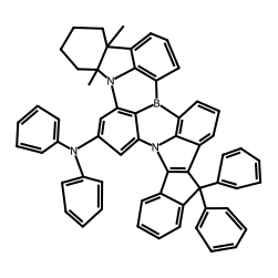 CC12CCCCC1(C)N1c3cc(N(c4ccccc4)c4ccccc4)cc4c3B(c3cccc2c31)c1cccc2c3c(n-4c12)-c1ccccc1C3(c1ccccc1)c1ccccc1